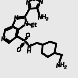 CCn1c(-c2nonc2N)nc2cncc(S(=O)(=O)NCC3CCC(CN)CC3)c21